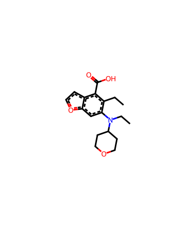 CCc1c(N(CC)C2CCOCC2)cc2occc2c1C(=O)O